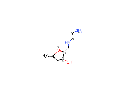 CC1C[C@H](O)[C@@H](CNCCN)O1